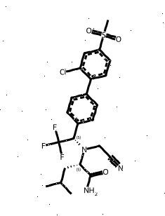 CC(C)C[C@@H](C(N)=O)N(CC#N)[C@@H](c1ccc(-c2ccc(S(C)(=O)=O)cc2Cl)cc1)C(F)(F)F